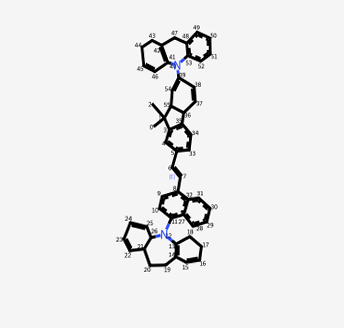 CC1(C)c2cc(/C=C/c3ccc(N4C5=C(C=CCC5)CCC5C=CC=CC54)c4ccccc34)ccc2C2C=CC(N3C4=C(CCC=C4)Cc4ccccc43)=CC21